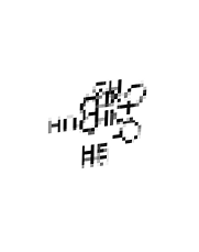 CC1CCCCC1NCC1(C)CCCCC1NCc1c(O)ccc2c(O)cccc12.Cl.Cl